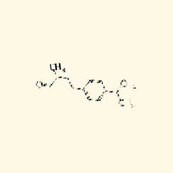 CC(C=O)CCc1ccc(C(C)C)cc1